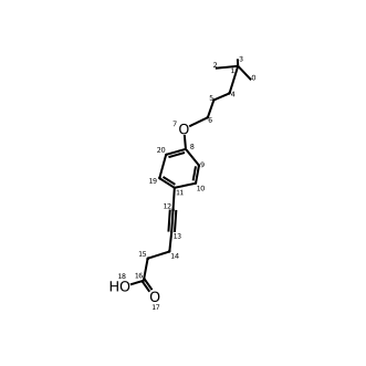 CC(C)(C)CCCOc1ccc(C#CCCC(=O)O)cc1